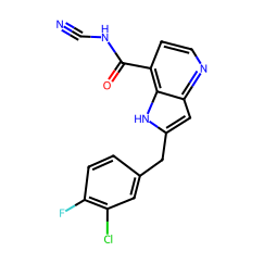 N#CNC(=O)c1ccnc2cc(Cc3ccc(F)c(Cl)c3)[nH]c12